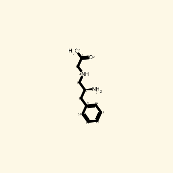 CC(=O)CNC[C@@H](N)Cc1ccccc1